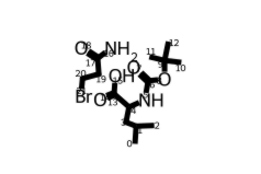 CC(C)CC(NC(=O)OC(C)(C)C)C(=O)O.NC(=O)CCBr